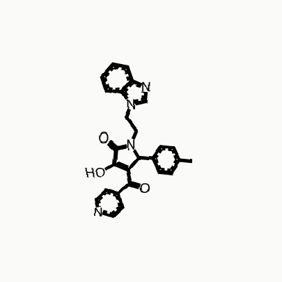 Cc1ccc(C2C(C(=O)c3ccncc3)=C(O)C(=O)N2CCn2cnc3ccccc32)cc1